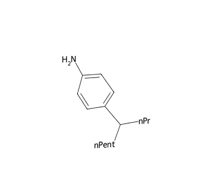 CCCCCC(CCC)c1ccc(N)cc1